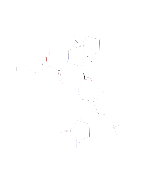 CC[C@@H](O)C(=O)N1C[C@@H]2CCC[C@@H]2[C@H]1C(=O)N[C@@H](C[C@@H]1CCNC1=O)C(=O)COC(F)(F)F